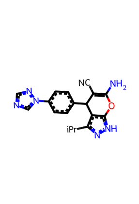 CC(C)c1n[nH]c2c1C(c1ccc(-n3cncn3)cc1)C(C#N)=C(N)O2